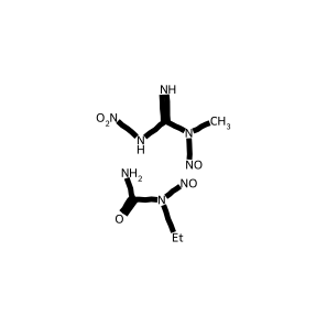 CCN(N=O)C(N)=O.CN(N=O)C(=N)N[N+](=O)[O-]